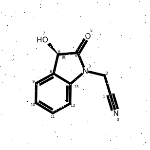 N#CCN1C(=O)[C@H](O)c2ccccc21